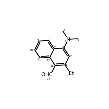 CCc1cc(N(C)C)c2ccccc2c1C=O